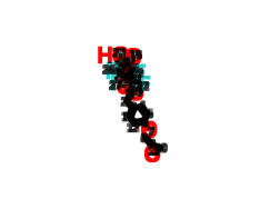 O=C(Cc1ccc(OCC2CO2)cc1)OC(CS(=O)(=O)O)(C(F)(F)F)C(F)(F)F